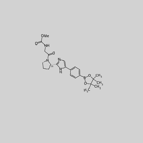 COC(=O)NCC(=O)N1CCC[C@H]1c1ncc(-c2ccc(B3OC(C)(C)C(C)(C)O3)cc2)[nH]1